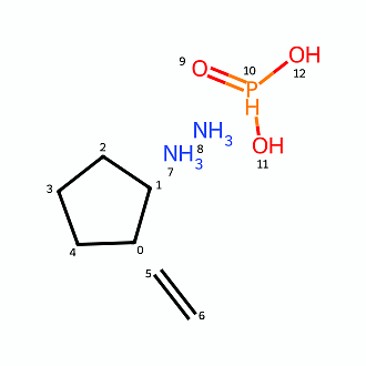 C1CCCC1.C=C.N.N.O=[PH](O)O